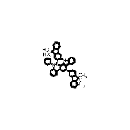 CC1(C)c2ccccc2-c2cc(-c3cc4c5c6c3c3ccccc3n6-c3cc6c(cc3B5N(c3ccccc3)c3ccccc3-4)C(C)(C)c3ccccc3-6)ccc21